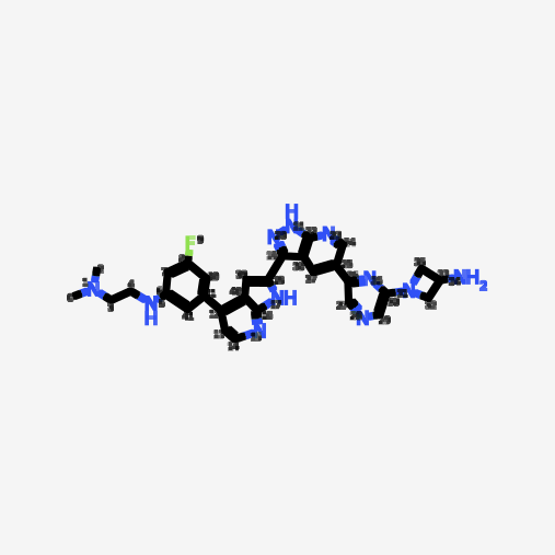 CN(C)CCNc1cc(F)cc(-c2ccnc3[nH]c(-c4n[nH]c5ncc(-c6cncc(N7CC(N)C7)n6)cc45)cc23)c1